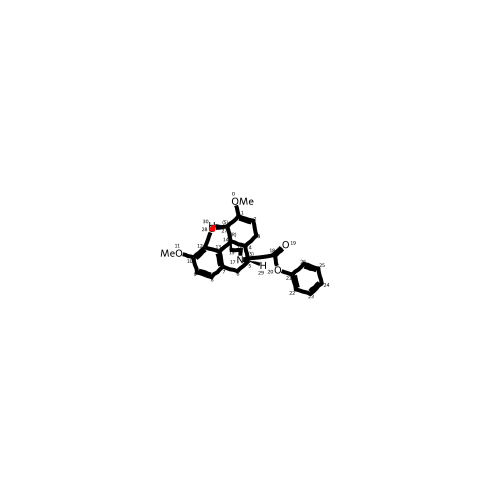 COC1=CCC2[C@@H]3Cc4ccc(OC)c5c4[C@]2(CCN3C(=O)Oc2ccccc2)[C@@H]1O5